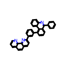 c1ccc(-c2nc3ccccc3c3c(-c4cccc(-c5ccc6ccc7cccnc7c6n5)c4)cccc23)cc1